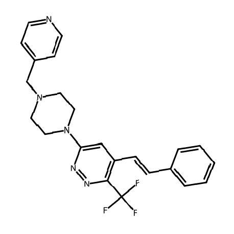 FC(F)(F)c1nnc(N2CCN(Cc3ccncc3)CC2)cc1C=Cc1ccccc1